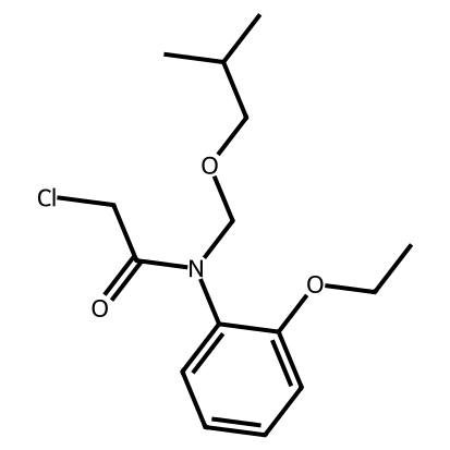 CCOc1ccccc1N(COCC(C)C)C(=O)CCl